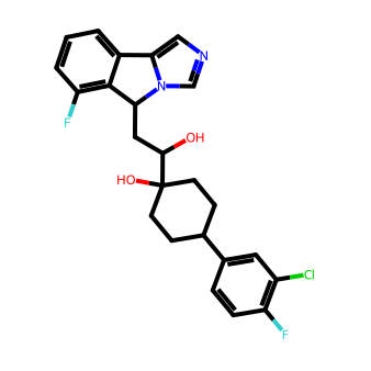 OC(CC1c2c(F)cccc2-c2cncn21)C1(O)CCC(c2ccc(F)c(Cl)c2)CC1